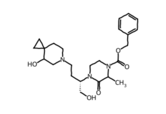 CC1C(=O)N([C@H](CO)CCN2CCC3(CC3)C(O)C2)CCN1C(=O)OCc1ccccc1